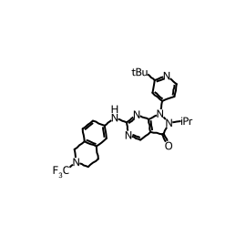 CC(C)n1c(=O)c2cnc(Nc3ccc4c(c3)CCN(C(F)(F)F)C4)nc2n1-c1ccnc(C(C)(C)C)c1